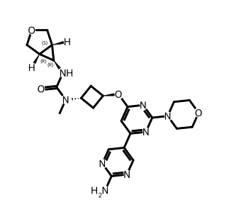 CN(C(=O)N[C@H]1[C@@H]2COC[C@@H]21)[C@H]1C[C@H](Oc2cc(-c3cnc(N)nc3)nc(N3CCOCC3)n2)C1